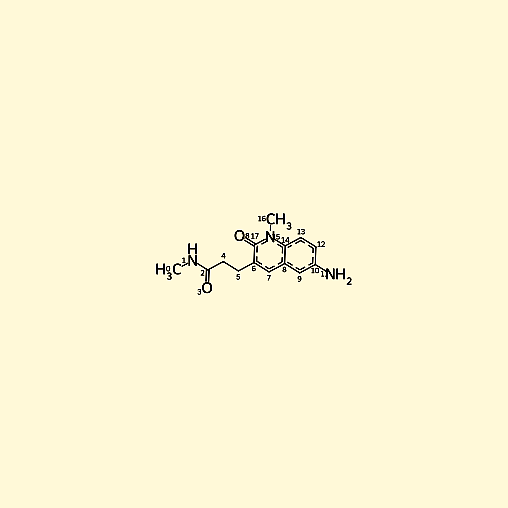 CNC(=O)CCc1cc2cc(N)ccc2n(C)c1=O